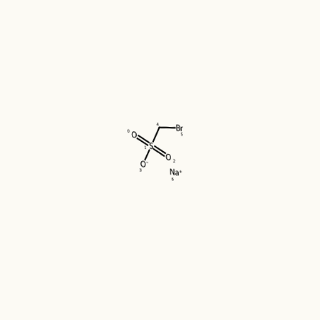 O=S(=O)([O-])CBr.[Na+]